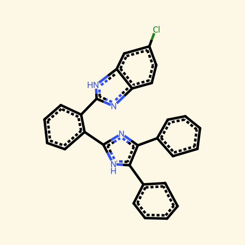 Clc1ccc2nc(-c3ccccc3-c3nc(-c4ccccc4)c(-c4ccccc4)[nH]3)[nH]c2c1